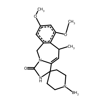 BN1CCC2(CC1)NC(=O)N1Cc3cc(OC)cc(OC)c3C(C)C=C12